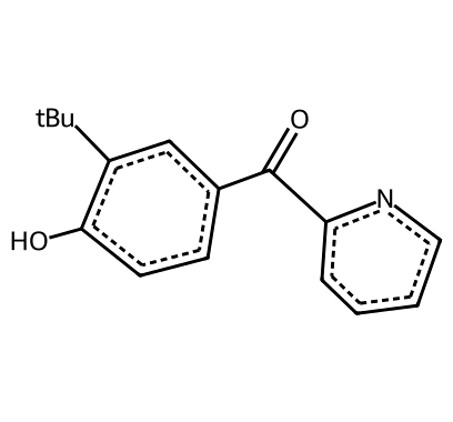 CC(C)(C)c1cc(C(=O)c2ccccn2)ccc1O